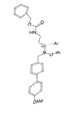 COc1ccc(-c2ccc(CN(OC(C)C)[C@H](CCNC(=O)OCc3ccccc3)C(C)=O)cc2)cc1